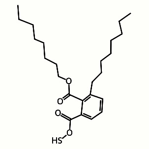 CCCCCCCCOC(=O)c1c(CCCCCCCC)cccc1C(=O)OS